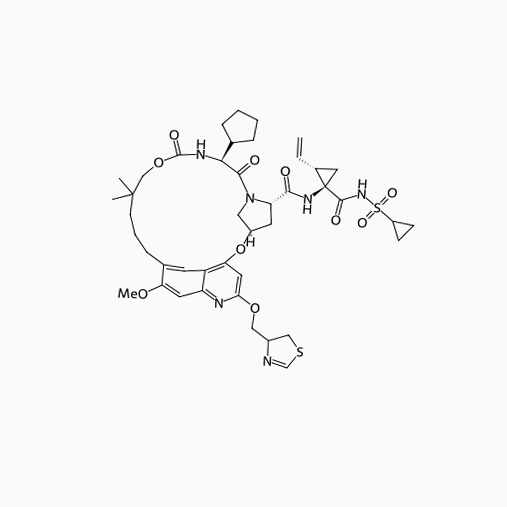 C=C[C@@H]1C[C@]1(NC(=O)[C@@H]1C[C@@H]2CN1C(=O)[C@H](C1CCCC1)NC(=O)OCC(C)(C)CCCc1cc3c(cc(OCC4CSC=N4)nc3cc1OC)O2)C(=O)NS(=O)(=O)C1CC1